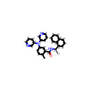 Cc1ccc(N(c2cccnc2)c2cccnc2)cc1C(=O)N[C@H](C)c1cccc2ccccc12